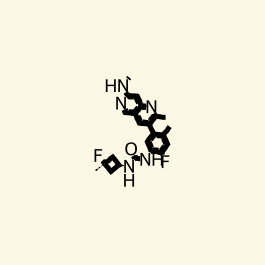 CNc1cc2nc(C)c(-c3cc(NC(=O)N[C@H]4C[C@](C)(F)C4)c(F)cc3C)cc2cn1